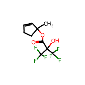 CC1(OC(=O)C(O)(C(F)(F)F)C(F)(F)F)C=CCC1